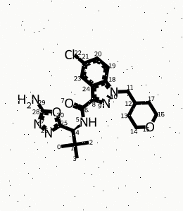 CC(C)(C)[C@H](NC(=O)c1nn(CC2CCOCC2)c2ccc(Cl)cc12)c1nnc(N)o1